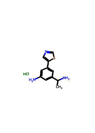 CC(N)c1cc(N)cc(-c2cncs2)c1.Cl